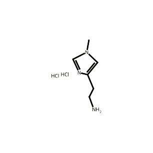 Cl.Cl.Cn1cnc(CCN)c1